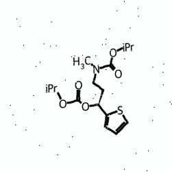 CC(C)OC(=O)O[C@@H](CCN(C)C(=O)OC(C)C)c1cccs1